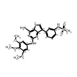 COc1cc(Nc2nc(N)c3scc(-c4cccc(NS(C)(=O)=O)c4)c3n2)cc(OC)c1OC